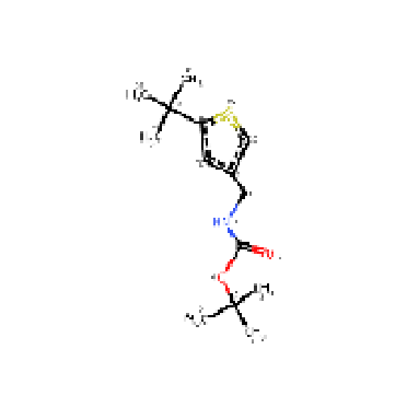 CC(C)(C)OC(=O)NCc1csc(C(C)(C)C)c1